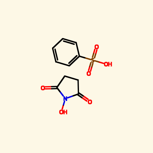 O=C1CCC(=O)N1O.O=S(=O)(O)c1ccccc1